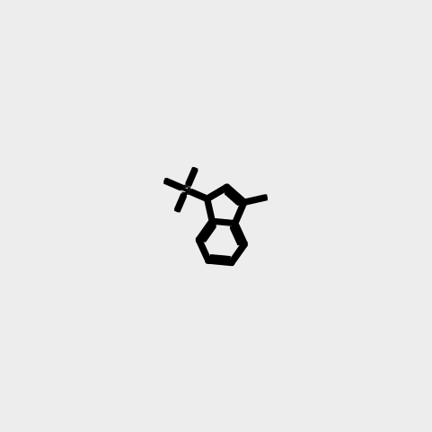 CC1=CC([Si](C)(C)C)c2ccccc21